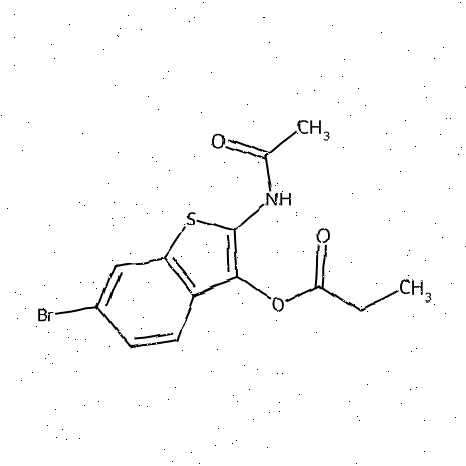 CCC(=O)Oc1c(NC(C)=O)sc2cc(Br)ccc12